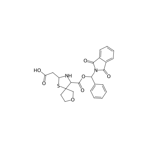 O=C(O)CC1NC(C(=O)OC(c2ccccc2)N2C(=O)c3ccccc3C2=O)C2(CCOC2)S1